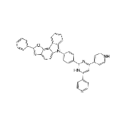 C1=CC(C2=NC(c3ccc(-n4c5ccccc5c5c6oc(-c7ccccc7)nc6ccc54)cc3)NC(c3ccncc3)=C2)=CCN1